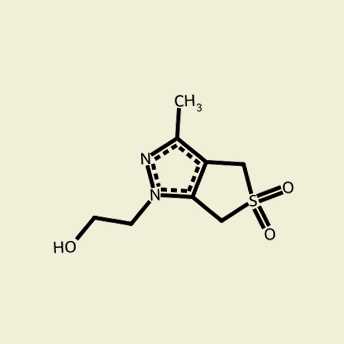 Cc1nn(CCO)c2c1CS(=O)(=O)C2